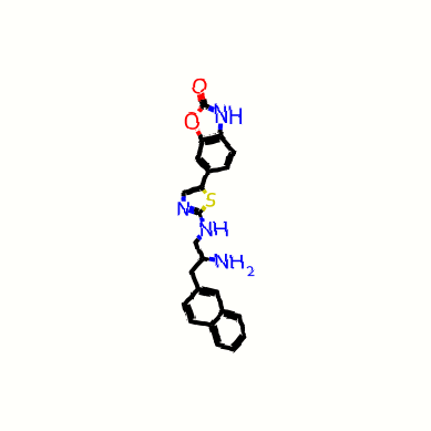 NC(CNc1ncc(-c2ccc3[nH]c(=O)oc3c2)s1)Cc1ccc2ccccc2c1